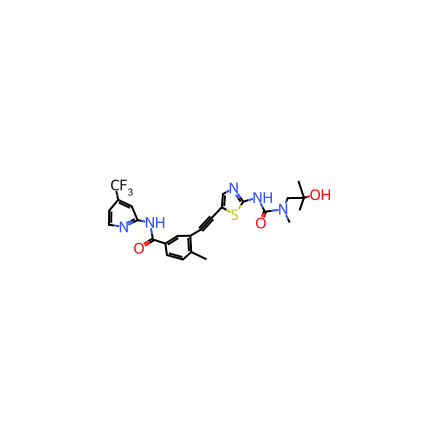 Cc1ccc(C(=O)Nc2cc(C(F)(F)F)ccn2)cc1C#Cc1cnc(NC(=O)N(C)CC(C)(C)O)s1